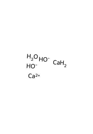 O.[Ca+2].[CaH2].[OH-].[OH-]